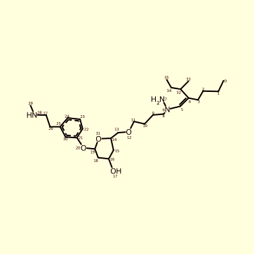 CCCC/C(=C/N(N)CCCCOCC1CC(O)CC(Oc2cccc(CCNC)c2)O1)C(C)CC